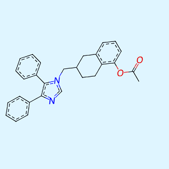 CC(=O)Oc1cccc2c1CCC(Cn1cnc(-c3ccccc3)c1-c1ccccc1)C2